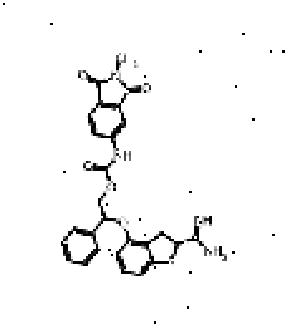 CN1C(=O)c2ccc(NC(=O)OCC(Oc3cccc4c3CC(C(=N)N)S4)c3ccccc3)cc2C1=O